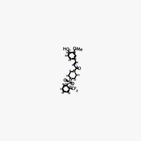 COc1cc(/C=C/C(=O)N2CCN(S(=O)(=O)c3ccccc3C(F)(F)F)CC2)ccc1O